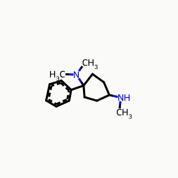 CNC1CCC(c2ccccc2)(N(C)C)CC1